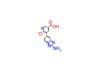 COc1ncc(C(=O)O)cc1-c1ccn2nc(N)nc2c1